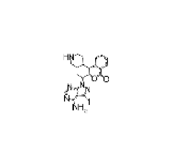 CC(c1oc(=O)c2ccccc2c1C1=CCNCC1)n1nc(I)c2c(N)ncnc21